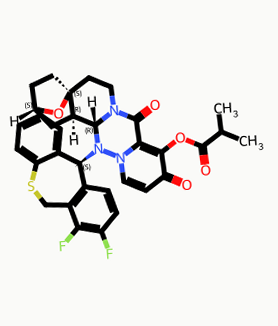 CC(C)C(=O)Oc1c2n(ccc1=O)N([C@@H]1c3ccccc3SCc3c1ccc(F)c3F)[C@@H]1[C@H]3C[C@@H]4CC[C@@]3(CCN1C2=O)O4